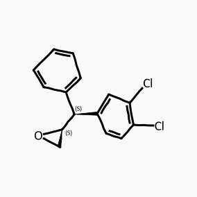 Clc1ccc([C@H](c2ccccc2)[C@H]2CO2)cc1Cl